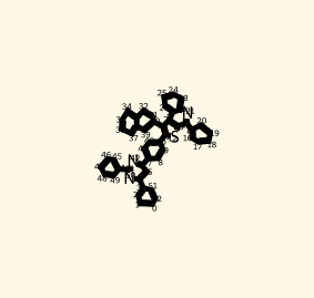 c1ccc(-c2cc(-c3ccc(-c4sc5c(-c6ccccc6)nc6ccccc6c5c4-c4ccc5ccccc5c4)cc3)nc(-c3ccccc3)n2)cc1